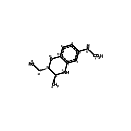 C[C@@H]1Nc2cc(NC(=O)O)ccc2O[C@H]1CO